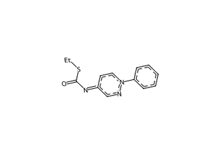 CCSC(=O)N=c1ccn(-c2ccccc2)nc1